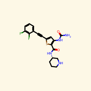 NC(=O)Nc1cc(C#Cc2cccc(F)c2F)sc1C(=O)N[C@H]1CCCNC1